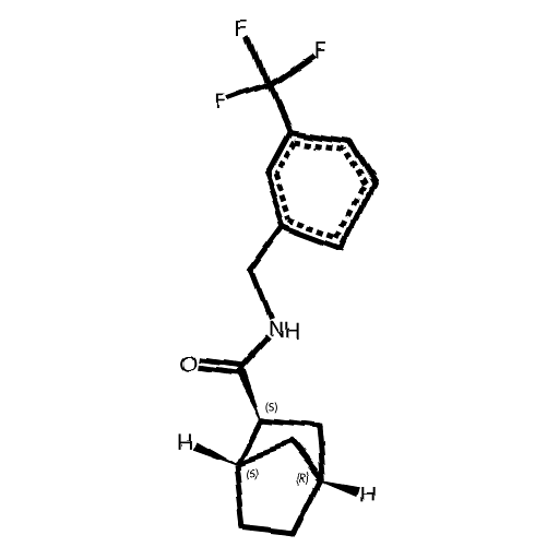 O=C(NCc1cccc(C(F)(F)F)c1)[C@H]1C[C@@H]2CC[C@H]1C2